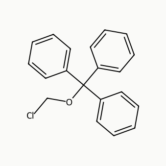 ClCOC(c1ccccc1)(c1ccccc1)c1ccccc1